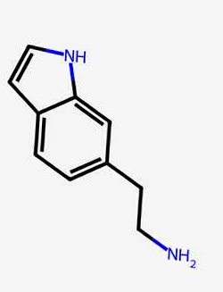 NCCc1ccc2cc[nH]c2c1